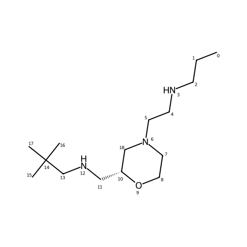 CCCNCCN1CCO[C@H](CNCC(C)(C)C)C1